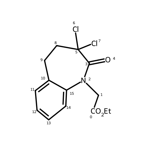 CCOC(=O)CN1C(=O)C(Cl)(Cl)CCc2ccccc21